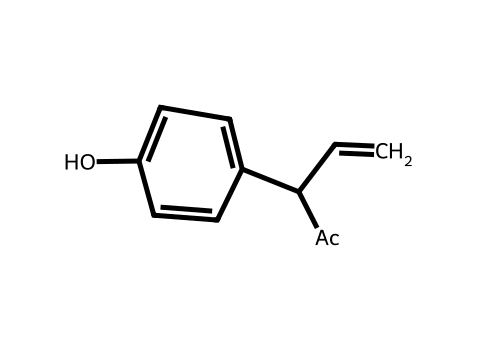 C=CC(C(C)=O)c1ccc(O)cc1